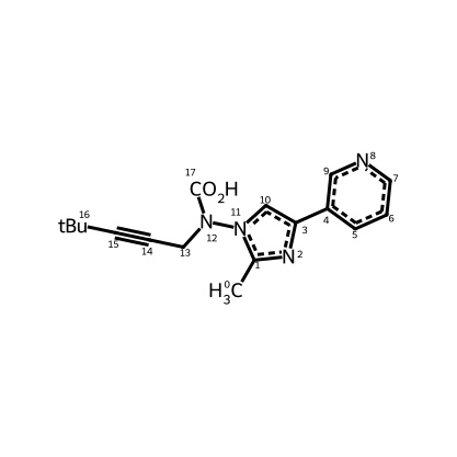 Cc1nc(-c2cccnc2)cn1N(CC#CC(C)(C)C)C(=O)O